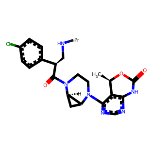 CC(C)NC[C@@H](C(=O)N1CCN(c2ncnc3c2[C@@H](C)OC(=O)N3)C2C[C@H]21)c1ccc(Cl)cc1